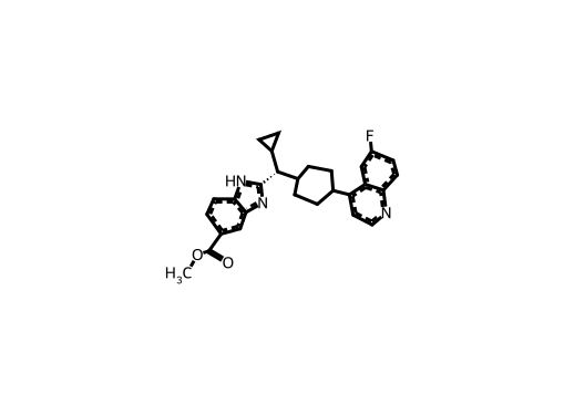 COC(=O)c1ccc2[nH]c([C@@H](C3CCC(c4ccnc5ccc(F)cc45)CC3)C3CC3)nc2c1